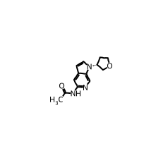 CC(=O)Nc1cc2ccn([C@@H]3CCOC3)c2cn1